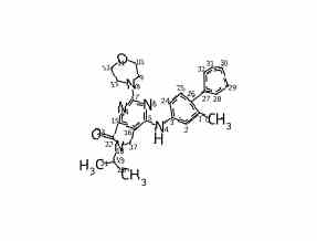 Cc1cc(Nc2nc(N3CCOCC3)nc3c2CN(C(C)C)C3=O)ccc1-c1ccccc1